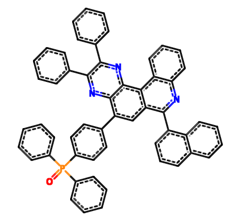 O=P(c1ccccc1)(c1ccccc1)c1ccc(-c2cc3c(-c4cccc5ccccc45)nc4ccccc4c3c3nc(-c4ccccc4)c(-c4ccccc4)nc23)cc1